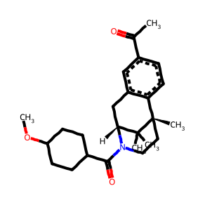 COC1CCC(C(=O)N2CC[C@@]3(C)c4ccc(C(C)=O)cc4C[C@@H]2C3(C)C)CC1